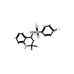 CC1(C)CC(NS(=O)(=O)c2ccc(F)cc2)c2ccccc2O1